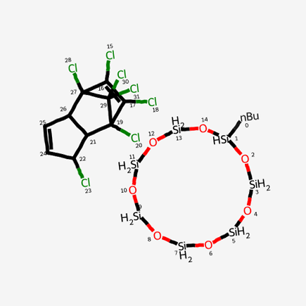 CCCC[SiH]1O[SiH2]O[SiH2]O[SiH2]O[SiH2]O[SiH2]O[SiH2]O1.ClC1=C(Cl)C2(Cl)C3C(Cl)C=CC3C1(Cl)C2(Cl)Cl